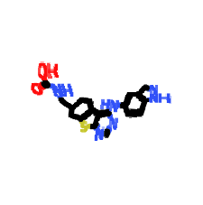 O=C(O)NCC1CCc2c(sc3ncnc(Nc4ccc5[nH]ncc5c4)c23)C1